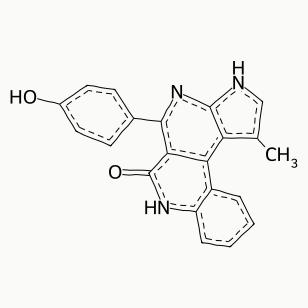 Cc1c[nH]c2nc(-c3ccc(O)cc3)c3c(=O)[nH]c4ccccc4c3c12